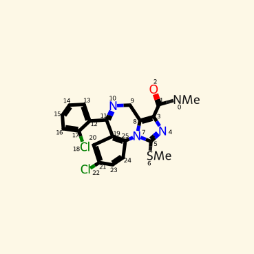 CNC(=O)c1nc(SC)n2c1CN=C(c1ccccc1Cl)c1cc(Cl)ccc1-2